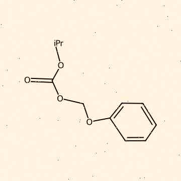 CC(C)OC(=O)OCOc1ccccc1